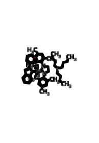 CCCCP(CCCC)CCCC.Cc1cc(C)c(N2CCN(c3c(C)cc(C)cc3C)[C]2=[Ru]([Cl])([Cl])=[C]2C(c3ccccc3)=Cc3ccccc32)c(C)c1